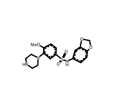 COc1ccc(S(=O)(=O)Nc2ccc3c(c2)OCO3)cc1N1CCNCC1